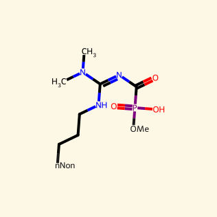 CCCCCCCCCCCCNC(=NC(=O)P(=O)(O)OC)N(C)C